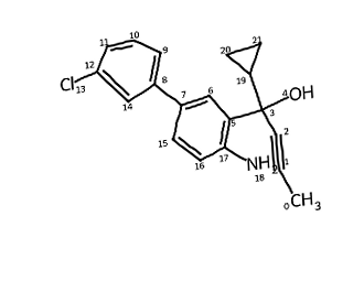 CC#CC(O)(c1cc(-c2cccc(Cl)c2)ccc1N)C1CC1